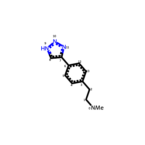 CNCCc1ccc(-c2c[nH]nn2)cc1